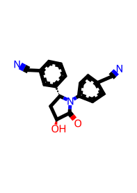 N#Cc1ccc(N2C(=O)[C@@H](O)C[C@@H]2c2cccc(C#N)c2)cc1